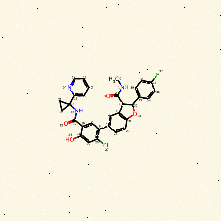 CNC(=O)C1c2cc(-c3cc(C(=O)NC4(c5ccccn5)CC4)c(O)cc3Cl)ccc2OC1c1ccc(F)cc1